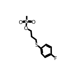 CS(=O)(=O)OCCCSc1ccc(F)cc1